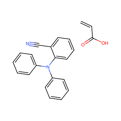 C=CC(=O)O.N#Cc1ccccc1N(c1ccccc1)c1ccccc1